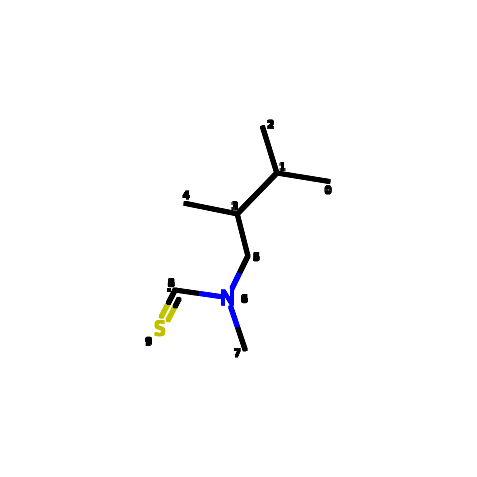 CC(C)C(C)CN(C)[C]=S